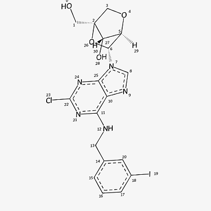 OC[C@@]12CO[C@@H]([C@H](n3cnc4c(NCc5cccc(I)c5)nc(Cl)nc43)O1)[C@@H]2O